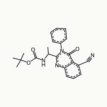 CC(NC(=O)OC(C)(C)C)c1nc2cccc(C#N)c2c(=O)n1-c1ccccc1